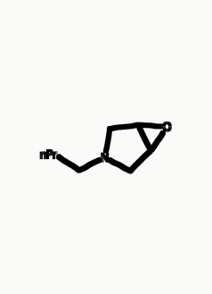 CCCCN1CC2OC2C1